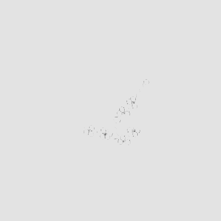 CCC1(OC)OCC2(CO1)COC(CC)(Oc1cc(/C=C/c3ccc(OC4(CC)OCC5(COC(CC)(OCCCCCCOC)OC5)CO4)cc3)cc(OC3(CC)OCC4(COC(CC)(OC)OC4)CO3)c1)OC2